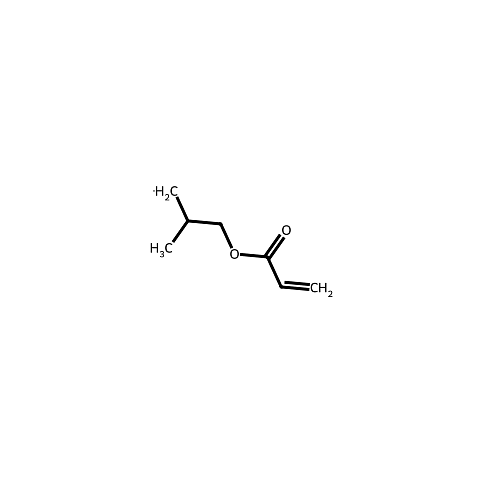 [CH2]C(C)COC(=O)C=C